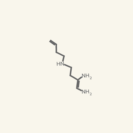 C=CCCNCCC(N)=CN